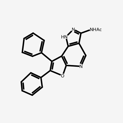 CC(=O)Nc1n[nH]c2c1cnc1oc(-c3ccccc3)c(-c3ccccc3)c12